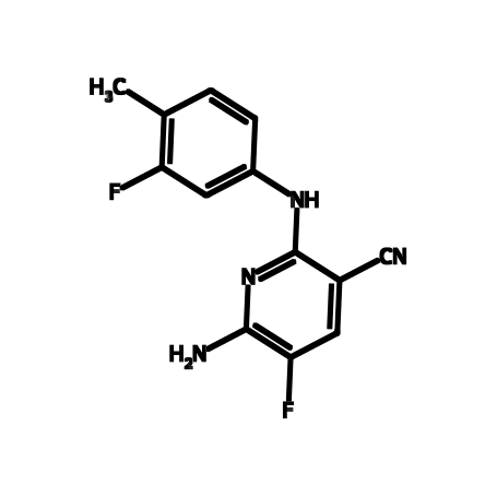 Cc1ccc(Nc2nc(N)c(F)cc2C#N)cc1F